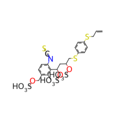 C=CCSc1ccc(SCC(CC(OS(=O)(=O)O)c2c(N=C=S)ccc(COS(=O)(=O)O)c2C)OS(=O)(=O)O)cc1